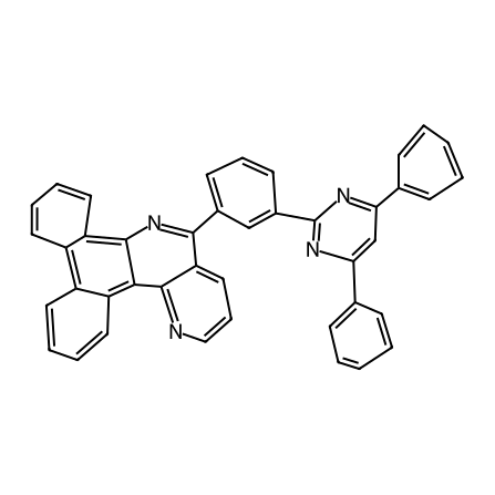 c1ccc(-c2cc(-c3ccccc3)nc(-c3cccc(-c4nc5c6ccccc6c6ccccc6c5c5ncccc45)c3)n2)cc1